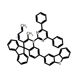 C=C/C=C\C1=C(C)N(c2nc(-c3ccccc3)cc(-c3ccccc3)n2)c2cc(-c3ccc4sc5ccccc5c4c3)ccc2C12c1ccccc1-c1ccccc12